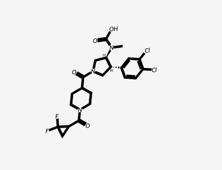 CN(C(=O)O)[C@@H]1CN(C(=O)C2CCN(C(=O)C3CC3(F)F)CC2)C[C@H]1c1ccc(Cl)c(Cl)c1